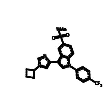 CNS(=O)(=O)c1ccc2c(c1)c(-c1cn(C3CCC3)cn1)cn2-c1ccc(C(F)(F)F)cc1